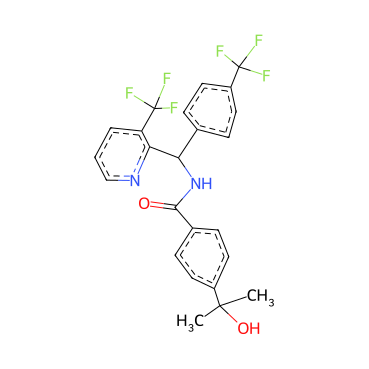 CC(C)(O)c1ccc(C(=O)NC(c2ccc(C(F)(F)F)cc2)c2ncccc2C(F)(F)F)cc1